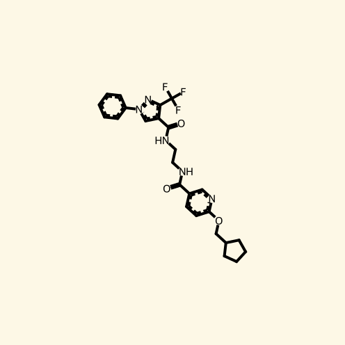 O=C(NCCNC(=O)c1cn(-c2ccccc2)nc1C(F)(F)F)c1ccc(OCC2CCCC2)nc1